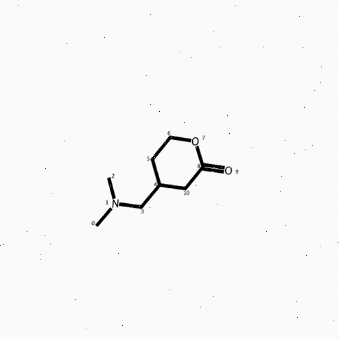 CN(C)CC1CCOC(=O)C1